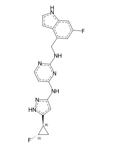 Fc1cc(CNc2nccc(Nc3cc([C@H]4C[C@@H]4F)[nH]n3)n2)c2cc[nH]c2c1